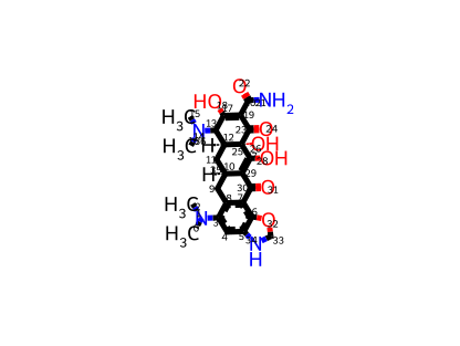 CN(C)c1cc2c(c3c1C[C@H]1C[C@H]4C(N(C)C)C(O)=C(C(N)=O)C(=O)[C@@]4(O)C(O)=C1C3=O)OCN2